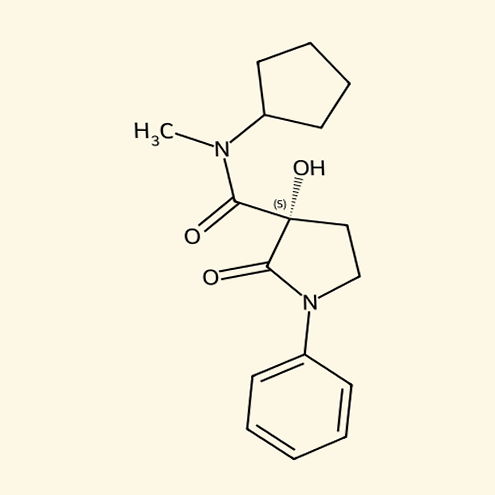 CN(C(=O)[C@@]1(O)CCN(c2ccccc2)C1=O)C1CCCC1